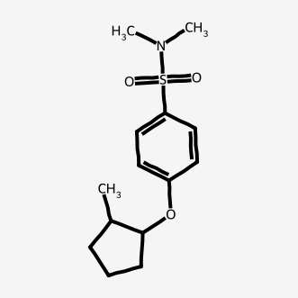 CC1CCCC1Oc1ccc(S(=O)(=O)N(C)C)cc1